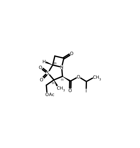 CC(=O)OC[C@@]1(C)[C@H](C(=O)OC(C)I)N2C(=O)C[C@H]2S1(=O)=O